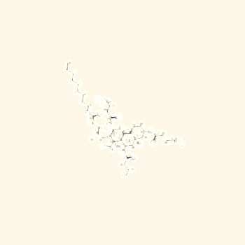 CCCCCCCCCOC(=O)CC[C@@H](C)[C@H]1CC[C@H]2[C@@H]3[C@H](OC(=O)CCC)C[C@@H]4C[C@H](OC(=O)CCN)CC[C@]4(C)[C@H]3C[C@H](OC(=O)CCN)[C@]12C